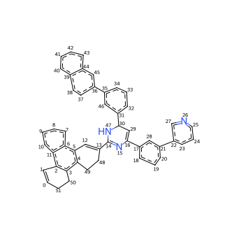 C1=Cc2c(c3c(c4ccccc24)C=C(C2=NC(c4cccc(-c5cccnc5)c4)=CC(c4cccc(-c5ccc6ccccc6c5)c4)N2)CC3)CC1